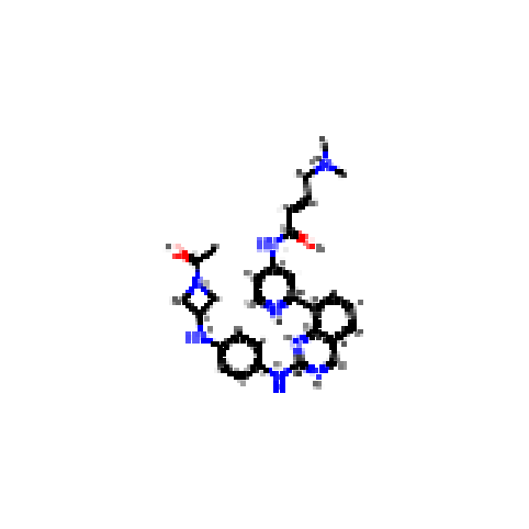 CC(=O)N1CC(Nc2ccc(Nc3ncc4cccc(-c5cc(NC(=O)C=CCN(C)C)ccn5)c4n3)cc2)C1